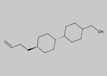 C=CCC[C@H]1CC[C@H](C2CCC(CO)CC2)CC1